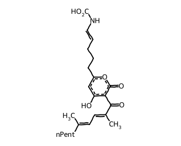 CCCCCC(C)=CC=C(C)C(=O)c1c(O)cc(CCCC=CNC(=O)O)oc1=O